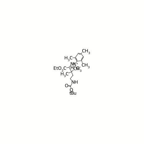 CCOC(=O)C(N[S@@+]([O-])c1c(C)cc(C)cc1C)C(C)(C)CCNC(=O)OC(C)(C)C